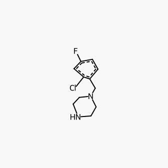 Fc1ccc(CN2CCNCC2)c(Cl)c1